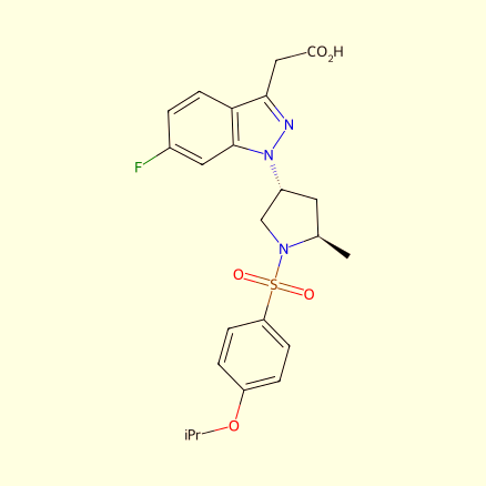 CC(C)Oc1ccc(S(=O)(=O)N2C[C@H](n3nc(CC(=O)O)c4ccc(F)cc43)C[C@H]2C)cc1